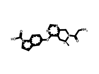 C[C@H]1Cc2c(ncnc2Oc2ccc3c(ccn3C(=O)O)c2)CN1C(=O)CN